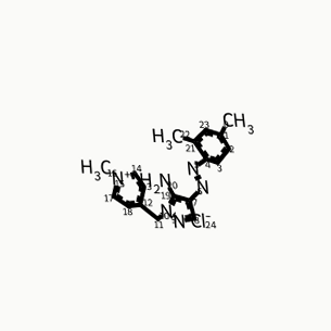 Cc1ccc(N=Nc2cnn(Cc3cc[n+](C)cc3)c2N)c(C)c1.[Cl-]